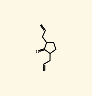 C=CCC1CCC(CC=C)C1=O